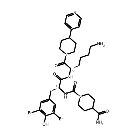 NCCCC[C@H](NC(=O)[C@@H](Cc1cc(Br)c(O)c(Br)c1)NC(=O)N1CCC(C(N)=O)CC1)C(=O)N1CCC(c2ccncc2)CC1